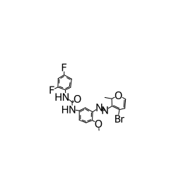 COc1ccc(NC(=O)Nc2ccc(F)cc2F)cc1N=NC1=C(Br)C=COC1C